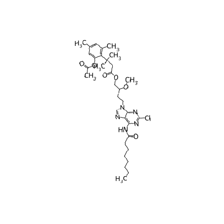 CCCCCCCC(=O)Nc1nc(Cl)nc2c1ncn2CCC(COC(=O)CC(C)(C)c1c(C)cc(C)cc1OC(C)=O)OC